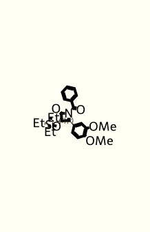 CC[Si](CC)(CC)O[C@@H]1C(=O)N(C(=O)c2ccccc2)[C@@H]1c1ccc(OC)c(OC)c1